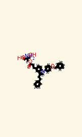 NC(CO)(CO)COC(=O)CCc1ccc2c(c1)c(CCc1ccccc1)cn2-c1ccc(OCc2ccccc2)cc1